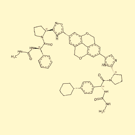 CNC(=O)N[C@@H](C(=O)N1CCC[C@H]1c1ncc(-c2cc3c4c(c2)OCc2cc(-c5cnc([C@@H]6CCCN6C(=O)[C@H](NC(=O)NC)c6ccc(C7CCCCC7)cc6)[nH]5)cc(c2-4)OC3)[nH]1)c1ccccc1